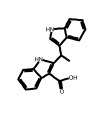 CC(c1[nH]c2ccccc2c1C(=O)O)c1c[nH]c2ccccc12